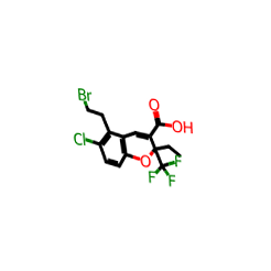 CCC1(C(F)(F)F)Oc2ccc(Cl)c(CCBr)c2C=C1C(=O)O